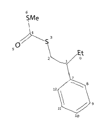 CCC(CSC(=O)SC)c1ccccc1